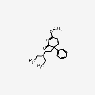 CCN(CC)CCC1(c2ccccc2)CCC(OC)=NC1=O